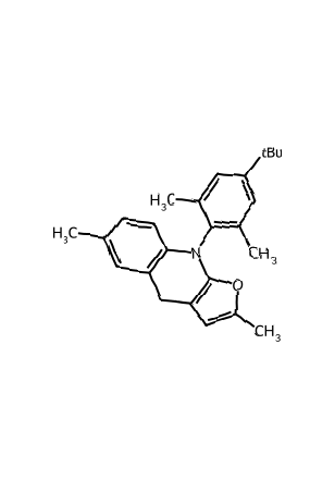 Cc1ccc2c(c1)Cc1cc(C)oc1N2c1c(C)cc(C(C)(C)C)cc1C